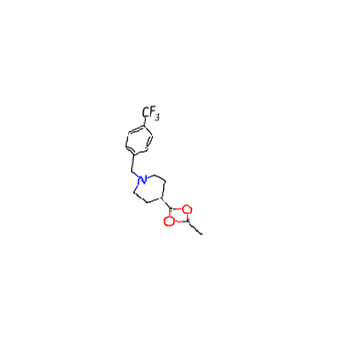 CC1OC(C2CCN(Cc3ccc(C(F)(F)F)cc3)CC2)O1